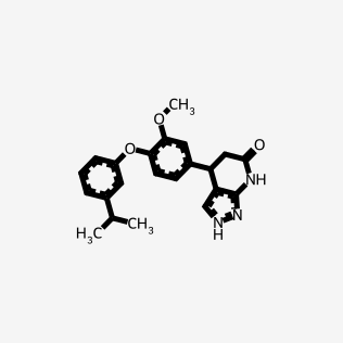 COc1cc(C2CC(=O)Nc3n[nH]cc32)ccc1Oc1cccc(C(C)C)c1